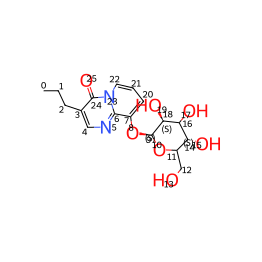 CCCc1cnc2c(O[C@@H]3OC(CO)[C@@H](O)C(O)[C@@H]3O)cccn2c1=O